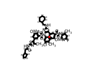 COc1ccc(-c2sc(NCC3CCCCC3)nc2N(c2ccc(C)c(Cl)c2)S(=O)(=O)c2cc(-c3sc(NC(=O)CC4CCCC4)nc3C)ccc2OC)cc1S(=O)(=O)Nc1cnc(F)cc1C